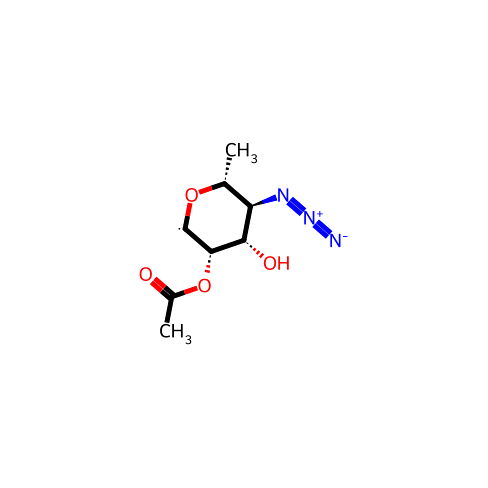 CC(=O)O[C@@H]1[CH]O[C@H](C)[C@@H](N=[N+]=[N-])[C@@H]1O